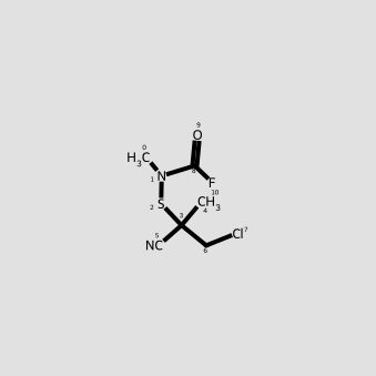 CN(SC(C)(C#N)CCl)C(=O)F